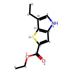 CCOC(=O)c1cc2[nH]cc(CC)c2s1